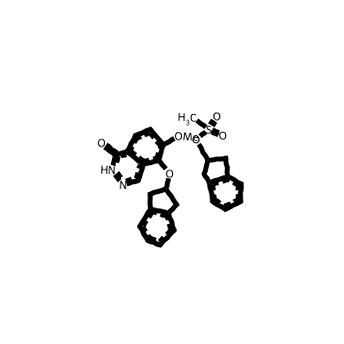 COc1ccc2c(=O)[nH]ncc2c1OC1Cc2ccccc2C1.CS(=O)(=O)OC1Cc2ccccc2C1